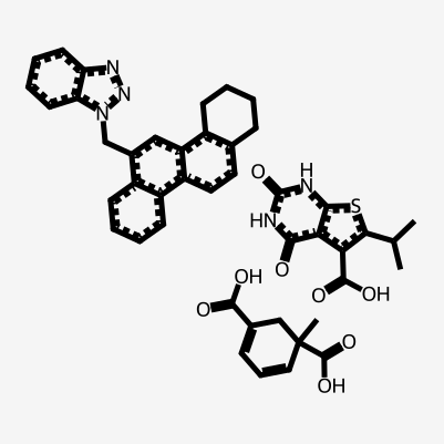 CC(C)c1sc2[nH]c(=O)[nH]c(=O)c2c1C(=O)O.CC1(C(=O)O)C=CC=C(C(=O)O)C1.c1ccc2c(c1)nnn2Cc1cc2c3c(ccc2c2ccccc12)CCCC3